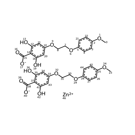 COc1ccc(OCCOc2cc(O)c(C(=O)[O-])c(O)c2)cc1.COc1ccc(OCCOc2cc(O)c(C(=O)[O-])c(O)c2)cc1.[Zn+2]